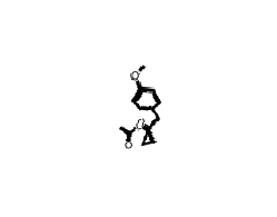 COc1ccc(CC2(OC(C)=O)CC2)cc1